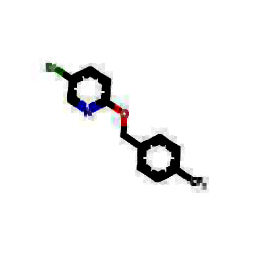 FC(F)(F)c1ccc(COc2ccc(Br)cn2)cc1